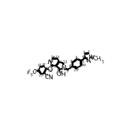 Cn1ccc(-c2ccc(CN3Cc4ccnc(Oc5ccc(C(F)(F)F)cc5C#N)c4C3O)cc2)n1